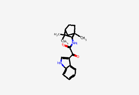 CC12CCC(C1)C(C)(C)C2NC(=O)C(=O)c1c[nH]c2ccccc12